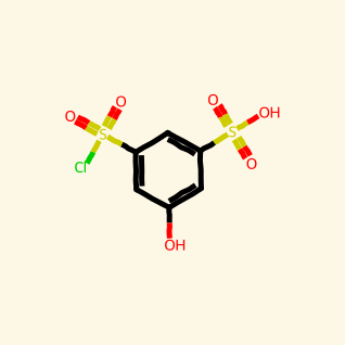 O=S(=O)(O)c1cc(O)cc(S(=O)(=O)Cl)c1